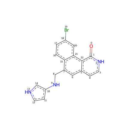 O=c1[nH]ccc2cc(CNc3cc[nH]c3)c3ccc(Br)cc3c12